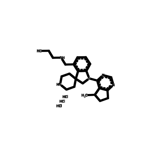 CC1CCc2ncnc(N3CC4(CCNCC4)c4c(CNCCO)cccc43)c21.Cl.Cl.Cl